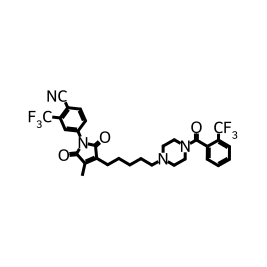 CC1=C(CCCCCN2CCN(C(=O)c3ccccc3C(F)(F)F)CC2)C(=O)N(c2ccc(C#N)c(C(F)(F)F)c2)C1=O